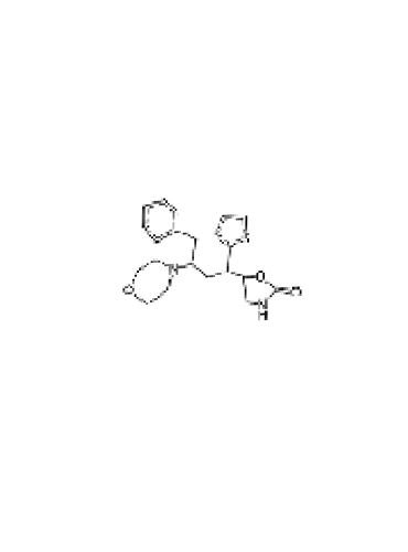 O=C1NCC(C(CC(Cc2ccccc2)N2CCOCC2)c2cccs2)O1